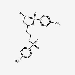 CCOCC(CCOS(=O)(=O)c1ccc(C)cc1)OS(=O)(=O)c1ccc(C)cc1